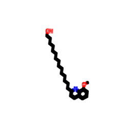 COc1cccc2ccc(CCCCCCCCCCCCCCCO)nc12